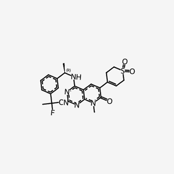 C[C@@H](Nc1ncnc2c1cc(C1=CCS(=O)(=O)CC1)c(=O)n2C)c1cccc(C(C)(F)C#N)c1